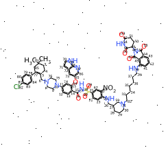 CC1(C)CCC(CN2CCN(c3ccc(C(=O)NS(=O)(=O)c4ccc(NCC5CCCN(CCCCCCCNc6cccc7c6C(=O)N(C6CCC(=O)NC6=O)C7=O)C5)c([N+](=O)[O-])c4)c(Oc4cnc5[nH]ccc5c4)c3)CC2)=C(c2ccc(Cl)cc2)C1